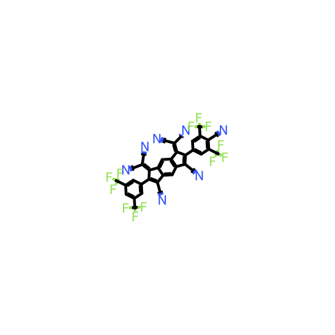 N#CC(C#N)=C1C(c2cc(C(F)(F)F)cc(C(F)(F)F)c2)=C(C#N)c2cc3c(cc21)C(=C(C#N)C#N)C(c1cc(C(F)(F)F)c(C#N)c(C(F)(F)F)c1)=C3C#N